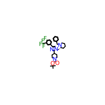 CC(C)(C)OC(=O)N1CCC(c2nc(-c3ccc(F)c(C(F)(F)F)c3)cn2C[C@H]2CCCCN2Cc2ccccc2)CC1